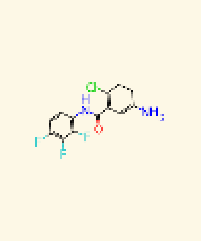 NC1=CC(C(=O)Nc2ccc(F)c(F)c2F)=C(Cl)CC1